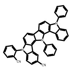 N#Cc1ccc2c(c1)c1c(ccc3c4ccc5c(c6ccccc6n5-c5ccccc5)c4n(-c4ccccc4)c31)n2-c1ccccc1C#N